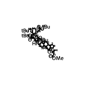 COC(=O)CCC(C)[C@H]1CCC2C3CC[C@@H]4C[C@@H](NC(=O)CCCCC5(N(CC(=O)OC(C)(C)C)CC(=O)OC(C)(C)C)CN(CC(=O)OC(C)(C)C)CCN(CC(C)(C)C)C5)CC[C@]4(C)C3C[C@H](O)[C@@]21C